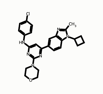 Cc1nc2cc(-c3cc(Nc4ccc(Cl)cc4)nc(N4CCOCC4)n3)ccc2n1C1CCC1